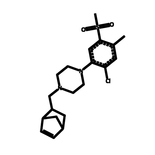 Cc1cc(Cl)c(N2CCN(CC3CC4C=CC3C4)CC2)cc1S(C)(=O)=O